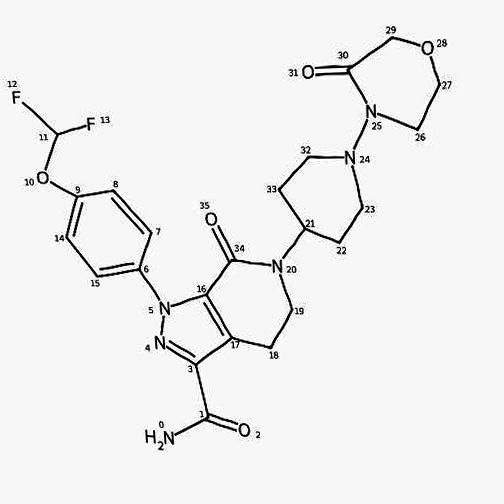 NC(=O)c1nn(-c2ccc(OC(F)F)cc2)c2c1CCN(C1CCN(N3CCOCC3=O)CC1)C2=O